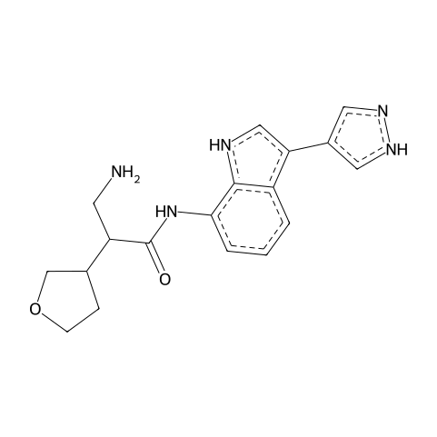 NCC(C(=O)Nc1cccc2c(-c3cn[nH]c3)c[nH]c12)C1CCOC1